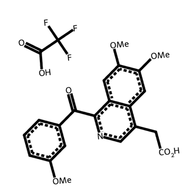 COc1cccc(C(=O)c2ncc(CC(=O)O)c3cc(OC)c(OC)cc23)c1.O=C(O)C(F)(F)F